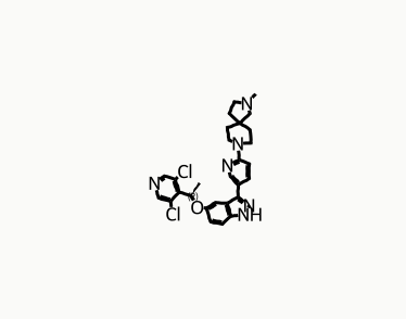 C[C@@H](Oc1ccc2[nH]nc(-c3ccc(N4CCC5(CCN(C)C5)CC4)nc3)c2c1)c1c(Cl)cncc1Cl